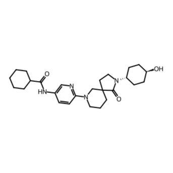 O=C(Nc1ccc(N2CCCC3(CCN([C@H]4CC[C@H](O)CC4)C3=O)C2)nc1)C1CCCCC1